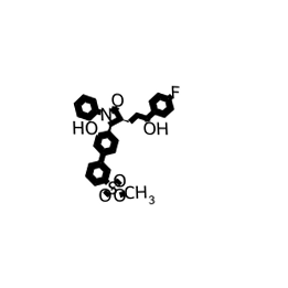 COS(=O)(=O)c1cccc(-c2ccc([C@@H]3[C@@H](CCC(O)c4ccc(F)cc4)C(=O)N3c3ccccc3)c(O)c2)c1